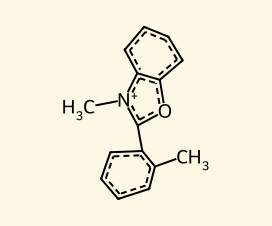 Cc1ccccc1-c1oc2ccccc2[n+]1C